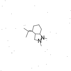 CC(C)=C1CCCC2C1CN(C)N2C